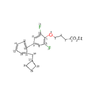 CCOC(=O)CCCOc1c(F)cc(-c2ccccc2CC2CCC2)cc1F